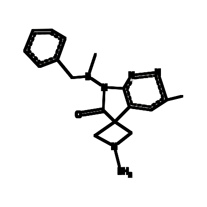 BN1CC2(C1)C(=O)N(B(C)Cc1ccccc1)c1nnc(C)cc12